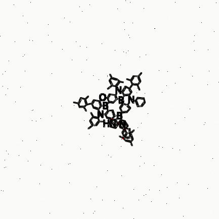 Cc1cc(C)c(-c2cc3c4c(c2)N(c2ccccc2)c2ccccc2B4c2cc4c(cc2N3)N(c2c(C)cc(C)cc2C)c2cc(-c3c(C)cc(C)cc3C)cc3c2B4c2cc4c(cc2O3)N(c2c(C)cc(C)cc2C)c2cc(-c3c(C)cc(C)cc3C)cc3c2B4c2ccccc2N3c2ccccc2)c(C)c1